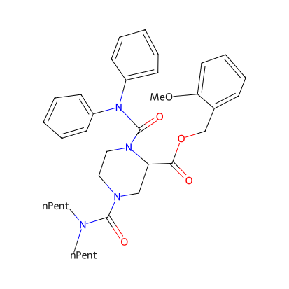 CCCCCN(CCCCC)C(=O)N1CCN(C(=O)N(c2ccccc2)c2ccccc2)C(C(=O)OCc2ccccc2OC)C1